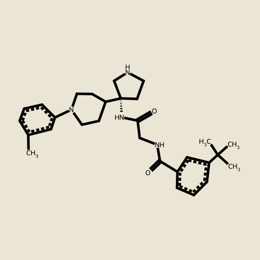 Cc1cccc(N2CCC([C@]3(NC(=O)CNC(=O)c4cccc(C(C)(C)C)c4)CCNC3)CC2)c1